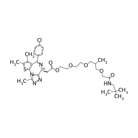 Cc1sc2c(c1C)C(c1ccc(Cl)cc1)=N[C@@H](CC(=O)OCCOCCOCC(C)COCC(=O)NCC(C)(C)C)c1nnc(C)n1-2